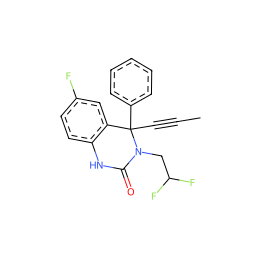 CC#CC1(c2ccccc2)c2cc(F)ccc2NC(=O)N1CC(F)F